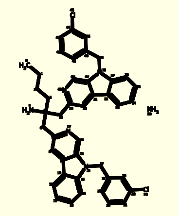 CCCCC(N)(Cc1cc2c3ccccc3n(Cc3cccc(Cl)c3)c2cn1)Cc1cc2c3ccccc3n(Cc3cccc(Cl)c3)c2cn1.N